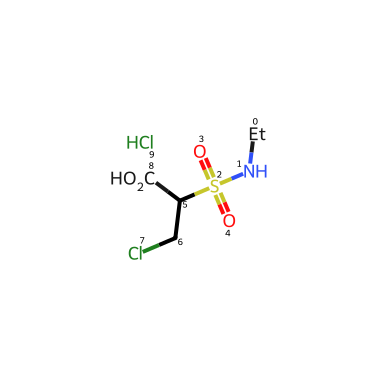 CCNS(=O)(=O)C(CCl)C(=O)O.Cl